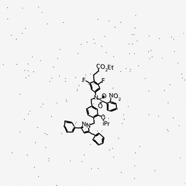 CCOC(=O)CCc1c(F)cc(N(Cc2ccc(Cn3nc(-c4ccccc4)cc3-c3ccccc3)c(OC(C)C)c2)S(=O)(=O)c2ccccc2[N+](=O)[O-])cc1F